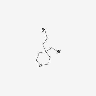 BrCCC1(CBr)CCOCC1